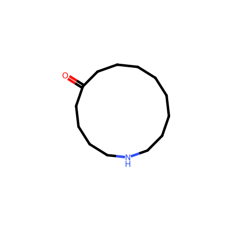 O=C1CCCCCCCCNCCCC1